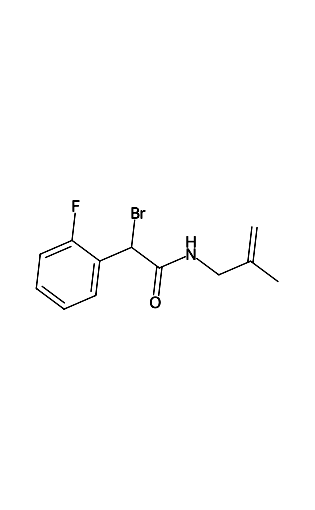 C=C(C)CNC(=O)C(Br)c1ccccc1F